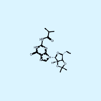 CC[C@H]1O[C@@H](n2cnc3c(=O)[nH]c(NC(=O)C(C)C)nc32)[C@H]2OC(C)(C)OC12